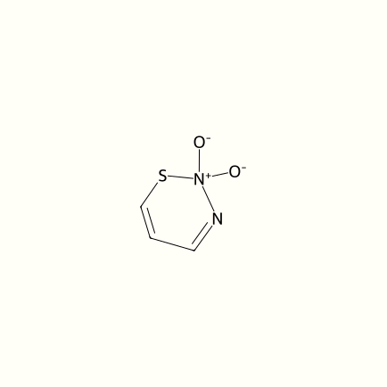 [O-][N+]1([O-])N=CC=CS1